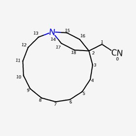 N#CCC12CCCCCCCCCCCN(CC1)CC2